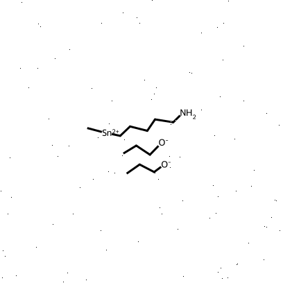 CCC[O-].CCC[O-].[CH3][Sn+2][CH2]CCCCN